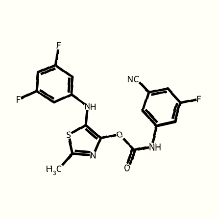 Cc1nc(OC(=O)Nc2cc(F)cc(C#N)c2)c(Nc2cc(F)cc(F)c2)s1